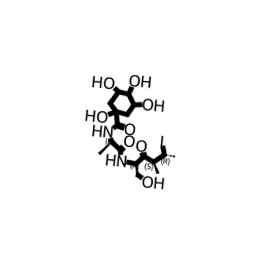 C[C@@H](NC(=O)C1(O)CC(O)C(O)C(O)C1)C(=O)N[C@H](CO)C(=O)[C@H](C)[C@@H](C)I